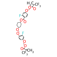 C=C(C(=O)OCOc1ccc(OCOC2CCC(OC(=O)c3ccc(OCOC(=O)C(=C)C(F)(F)F)cc3F)CC2)c(F)c1)C(F)(F)F